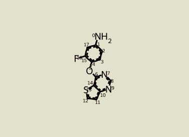 Nc1ccc(Oc2ncnc3ccsc23)c(F)c1